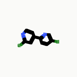 Clc1ccc(-c2ccnc(Cl)c2)nc1